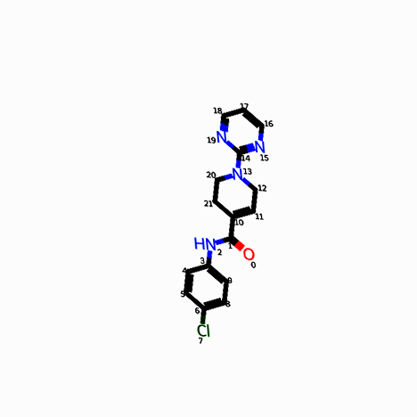 O=C(Nc1ccc(Cl)cc1)C1=CCN(c2ncccn2)CC1